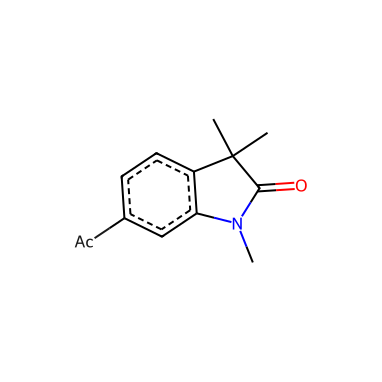 CC(=O)c1ccc2c(c1)N(C)C(=O)C2(C)C